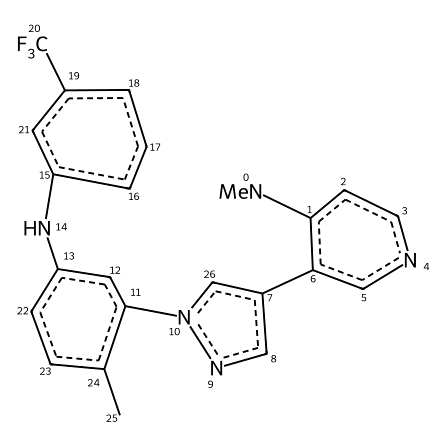 CNc1ccncc1-c1cnn(-c2cc(Nc3cccc(C(F)(F)F)c3)ccc2C)c1